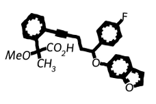 COC(C)(C(=O)O)c1ccccc1C#CCCC(Oc1ccc2ccoc2c1)c1ccc(F)cc1